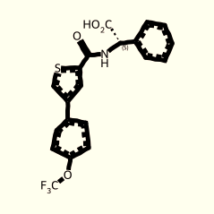 O=C(N[C@H](C(=O)O)c1ccccc1)c1cc(-c2ccc(OC(F)(F)F)cc2)cs1